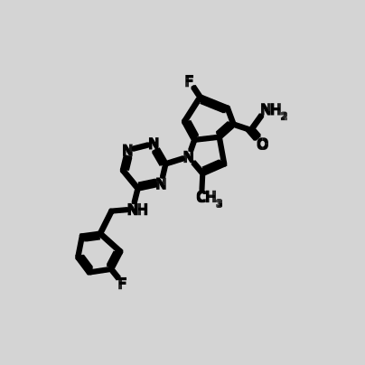 Cc1cc2c(C(N)=O)cc(F)cc2n1-c1nncc(NCc2cccc(F)c2)n1